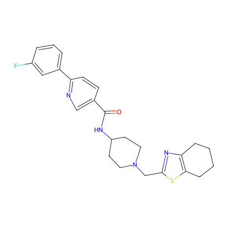 O=C(NC1CCN(Cc2nc3c(s2)CCCC3)CC1)c1ccc(-c2cccc(F)c2)nc1